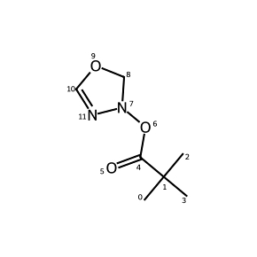 CC(C)(C)C(=O)ON1COC=N1